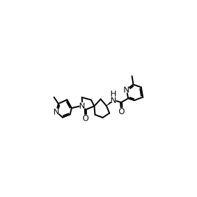 Cc1cc(N2CCC3(CCC[C@H](NC(=O)c4cccc(C)n4)C3)C2=O)ccn1